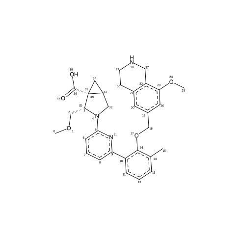 COC[C@H]1N(c2cccc(-c3cccc(C)c3OCc3cc4c(c(OC)c3)CNCC4)n2)CC2C[C@@]21C(=O)O